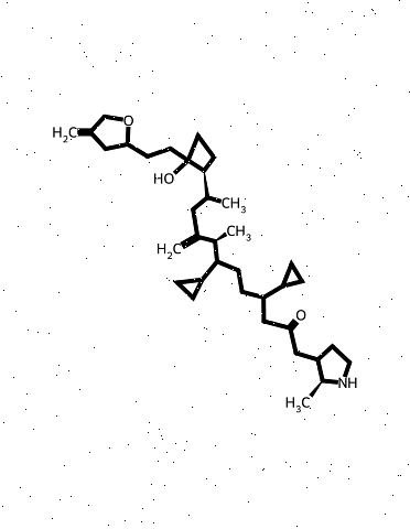 C=C1COC(CCC2(O)CC[C@H]2C(C)CC(=C)[C@@H](C)C(CCC(CC(=O)CC2CCN[C@H]2C)C2CC2)C2CC2)C1